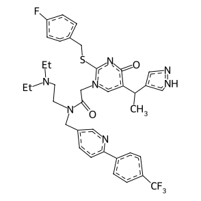 CCN(CC)CCN(Cc1ccc(-c2ccc(C(F)(F)F)cc2)nc1)C(=O)Cn1cc(C(C)c2cn[nH]c2)c(=O)nc1SCc1ccc(F)cc1